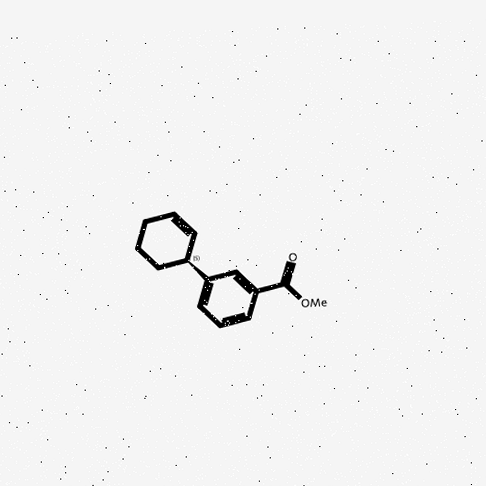 COC(=O)c1cccc([C@@H]2C=CCCC2)c1